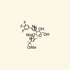 COCC(C)(C)c1cc(C[C@H]2O[C@H](CO)[C@H](O)[C@H](n3cc(-c4cc(F)c(F)c(F)c4)nn3)[C@H]2OC)on1